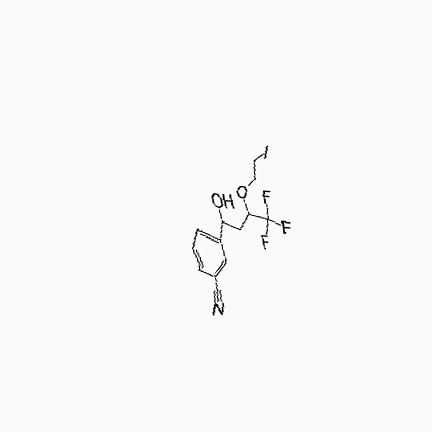 N#Cc1cccc(C(O)CC(OCCI)C(F)(F)F)c1